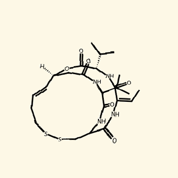 C/C=C1/NC(=O)C2CSSCC/C=C/[C@H](CC(=O)NC(C(C)C)C(=O)N2)OC(=O)[C@H](C(C)C)NC1=O